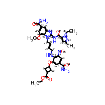 CCOC(=O)C1CC(Oc2cc(C(N)=O)cc(N=O)c2NC/C=C/Cn2c(NC(=O)c3cc(C)nn3CC)nc3cc(C(N)=O)cc(OC)c32)C1